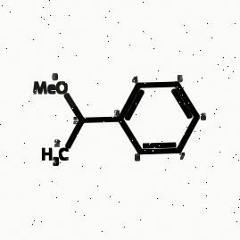 COC(C)c1ccccc1